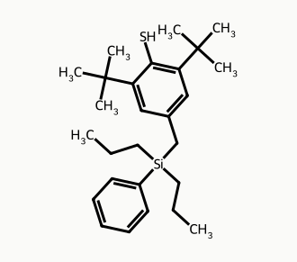 CCC[Si](CCC)(Cc1cc(C(C)(C)C)c(S)c(C(C)(C)C)c1)c1ccccc1